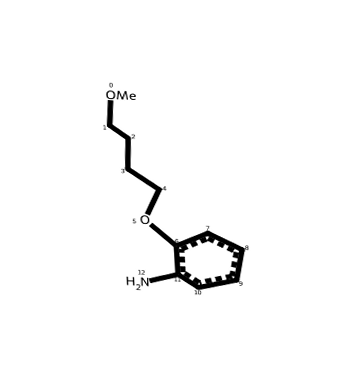 COCCCCOc1ccccc1N